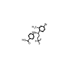 Cc1cc(Br)ccc1C(CCC(F)(F)F)Nc1ccc(C(=O)O)cc1